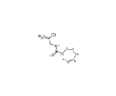 C=C(Cl)COC(=O)C1CC=CCCC1